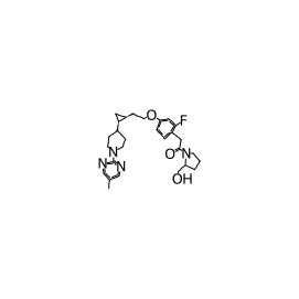 Cc1cnc(N2CCC([C@H]3C[C@H]3CCOc3ccc(CC(=O)N4CCCC4CO)c(F)c3)CC2)nc1